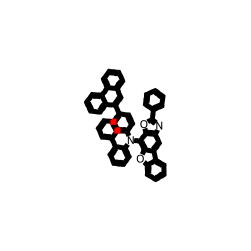 c1ccc(-c2nc3cc4c(oc5ccccc54)c(N(c4ccc(-c5cc6ccccc6c6ccccc56)cc4)c4ccccc4-c4ccccc4)c3o2)cc1